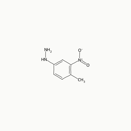 Cc1ccc(NN)cc1[N+](=O)[O-]